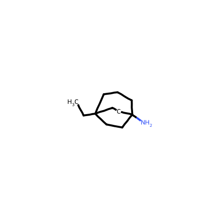 CCC12CCCC(N)(CC1)CC2